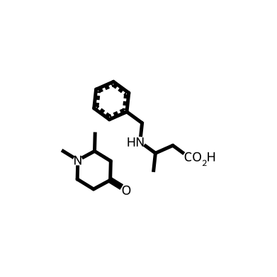 CC(CC(=O)O)NCc1ccccc1.CC1CC(=O)CCN1C